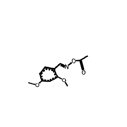 COc1ccc(/C=N/OC(C)=O)c(OC)c1